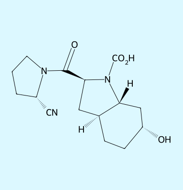 N#C[C@@H]1CCCN1C(=O)[C@@H]1C[C@@H]2CC[C@@H](O)C[C@H]2N1C(=O)O